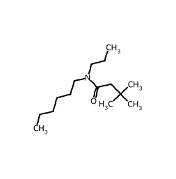 CCCCCCN(CCC)C(=O)CC(C)(C)C